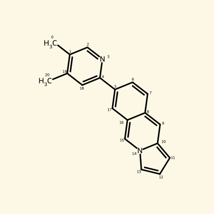 Cc1cnc(-c2ccc3cc4cccn4cc3c2)cc1C